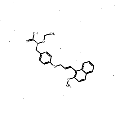 CCO[C@@H](Cc1ccc(OC/C=C/c2c(OC)ccc3ccccc23)cc1)C(=O)O